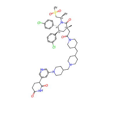 CC(C)[C@H](CS(=O)(=O)C(C)C)N1C(=O)[C@](C)(CC(=O)N2CCC(CC3CCN(CC4CCN(c5cncc(C6CCC(=O)NC6=O)c5)CC4)CC3)CC2)C[C@@H](c2cccc(Cl)c2)[C@@H]1c1ccc(Cl)cc1